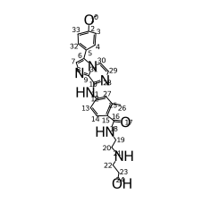 COc1ccc(-c2cnc3c(Nc4ccc(C(=O)NCCNCCO)c(C)c4)nccn23)cc1